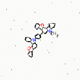 Cn1c2ccccc2c2c3oc4ccccc4c3c(-c3ccc(-n4c5ccccc5c5c6oc7ccccc7c6ccc54)cc3)cc21